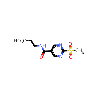 CS(=O)(=O)c1ncc(C(=O)NCCC(=O)O)cn1